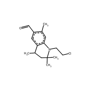 Cc1cc2c(cc1C=O)C(C)CC(C)(C)N2CCCl